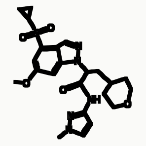 COc1cc(S(=O)(=O)C2CC2)c2cnn(C(CC3CCOCC3)C(=O)Nc3ccn(C)n3)c2c1